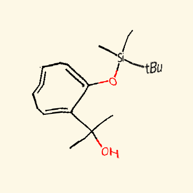 CC(C)(O)c1cc[c]cc1O[Si](C)(C)C(C)(C)C